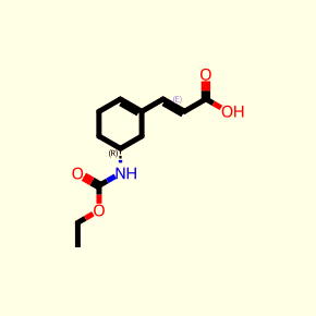 CCOC(=O)N[C@@H]1CCC=C(/C=C/C(=O)O)C1